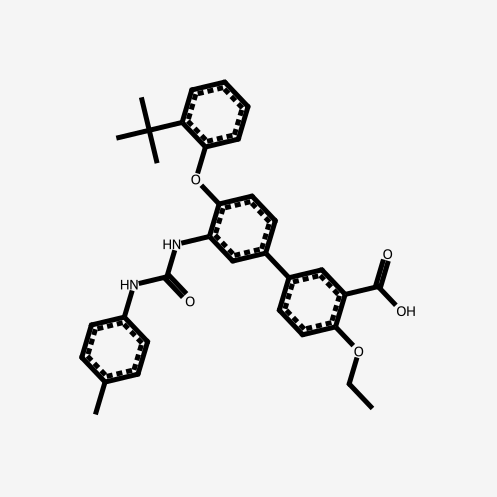 CCOc1ccc(-c2ccc(Oc3ccccc3C(C)(C)C)c(NC(=O)Nc3ccc(C)cc3)c2)cc1C(=O)O